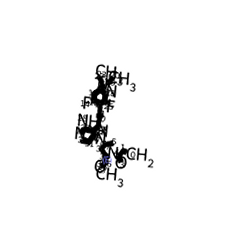 C=CC(=O)N1C[C@@H](n2nc(C#Cc3c(F)cc4c(nc(C)n4CC)c3F)c3c(N)nccc32)C/C1=C\OC